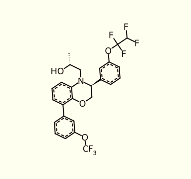 C[C@@H](O)CN1c2cccc(-c3cccc(OC(F)(F)F)c3)c2OC[C@@H]1c1cccc(OC(F)(F)C(F)F)c1